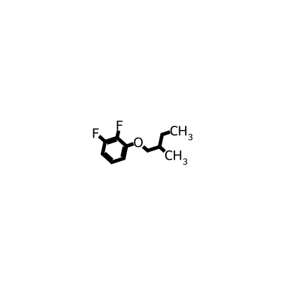 CCC(C)COc1cccc(F)c1F